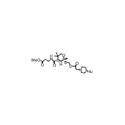 C=P1(OCOC(=O)CN2CCN(C(C)=O)CC2)N[C@@H](C(=O)NCCC(=O)OC)C(C)(C)CO1